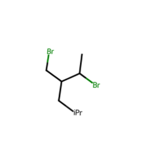 CC(C)CC(CBr)C(C)Br